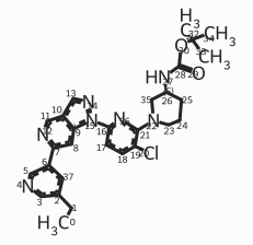 CCc1cncc(-c2cc3c(cn2)cnn3-c2ccc(Cl)c(N3CCC[C@H](NC(=O)OC(C)(C)C)C3)n2)c1